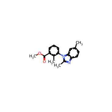 COC(=O)c1cccc(-n2c(C)nc3ccc(C)cc32)c1C